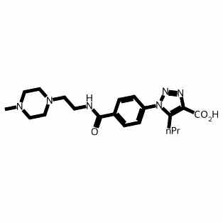 CCCc1c(C(=O)O)nnn1-c1ccc(C(=O)NCCN2CCN(C)CC2)cc1